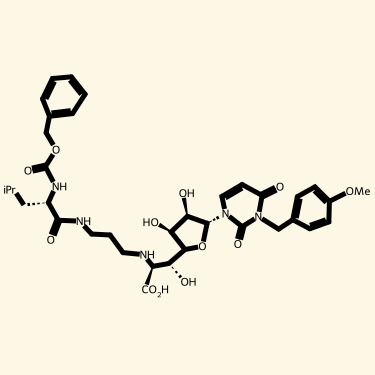 COc1ccc(Cn2c(=O)ccn([C@@H]3OC([C@H](O)[C@H](NCCCNC(=O)[C@H](CC(C)C)NC(=O)OCc4ccccc4)C(=O)O)[C@@H](O)[C@H]3O)c2=O)cc1